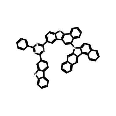 c1ccc(-c2nc(-c3ccc4c(c3)oc3ccccc34)nc(-c3ccc4oc5c6ccccc6c(-n6c7cc8ccccc8cc7c7c8ccccc8ccc76)cc5c4c3)n2)cc1